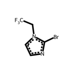 FC(F)(F)Cn1ccnc1Br